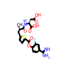 C[C@H](Cc1ccc(C(=O)Oc2ccc(C(=N)N)cc2F)s1)C(=O)N[C@@H](CC(=O)O)C(=O)O